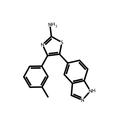 Cc1cccc(-c2nc(N)sc2-c2ccc3[nH]ncc3c2)c1